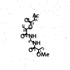 COC(C)C(=O)NCNC(=O)C(C)OC(=O)CC(C)=O